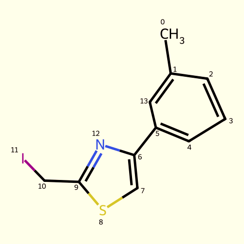 Cc1cccc(-c2csc(CI)n2)c1